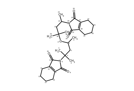 CC(CC(C)(C)N1C(=O)C2=C(CCCC2)C1=O)OC(C)(C)CC(C)N1C(=O)C2=C(CCCC2)C1=O